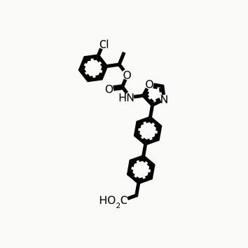 CC(OC(=O)Nc1ocnc1-c1ccc(-c2ccc(CC(=O)O)cc2)cc1)c1ccccc1Cl